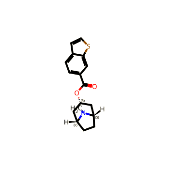 CN1[C@@H]2CC[C@H]1C[C@@H](OC(=O)c1ccc3ccsc3c1)C2